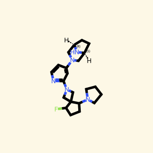 FC1CCC(N2CCCC2)C12CN(c1cc(N3C[C@H]4CC[C@@H](C3)N4)ccn1)C2